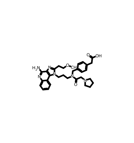 COCCc1nc2c(N)nc3ccccc3c2n1CCCN(Cc1ccc(CC(=O)O)cc1)C(=O)CN1CCCC1